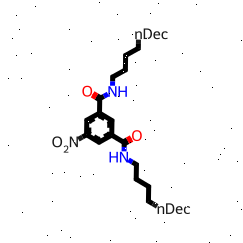 CCCCCCCCCCCCCCNC(=O)c1cc(C(=O)NCCCCCCCCCCCCCC)cc([N+](=O)[O-])c1